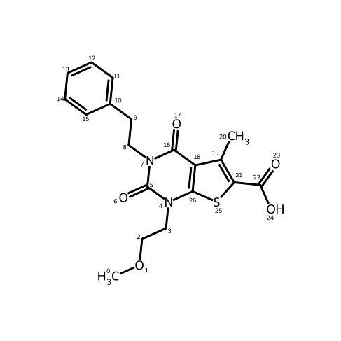 COCCn1c(=O)n(CCc2ccccc2)c(=O)c2c(C)c(C(=O)O)sc21